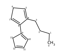 CCCCC1=CC[C]=C1C1=CC=CC1